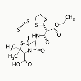 CCOC(=O)C(C(=O)N[C@@H]1C(=O)N2C(C(=O)O)C(C)(C)S[C@H]12)=C1SCCS1.S=C=S